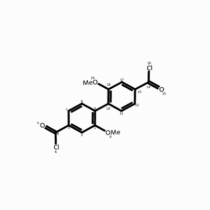 COc1cc(C(=O)Cl)ccc1-c1ccc(C(=O)Cl)cc1OC